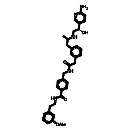 COc1cccc(CCNC(=O)c2ccc(CNC(=O)Cc3cccc(CC(C)NC[C@@H](O)c4ccc(N)nc4)c3)cc2)c1